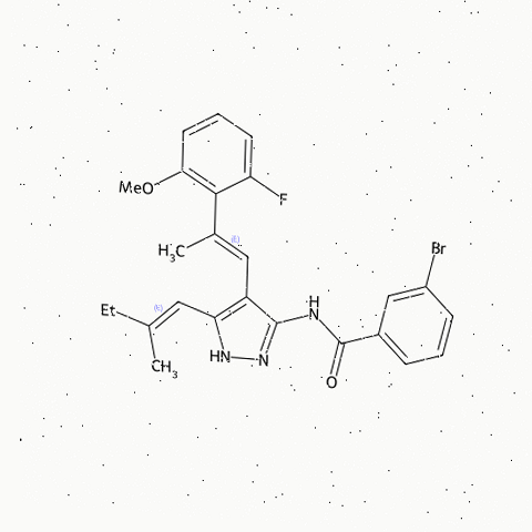 CC/C(C)=C/c1[nH]nc(NC(=O)c2cccc(Br)c2)c1/C=C(\C)c1c(F)cccc1OC